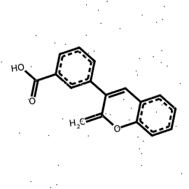 C=C1Oc2ccccc2C=C1c1cccc(C(=O)O)c1